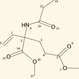 C=CC(CCC(=O)OC)(NC(=O)CC)C(=O)OC